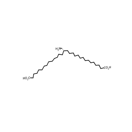 NC[C@H](CCCCCCCCCCCCCCC(=O)O)CCCCCCCCCCCCCC(=O)O